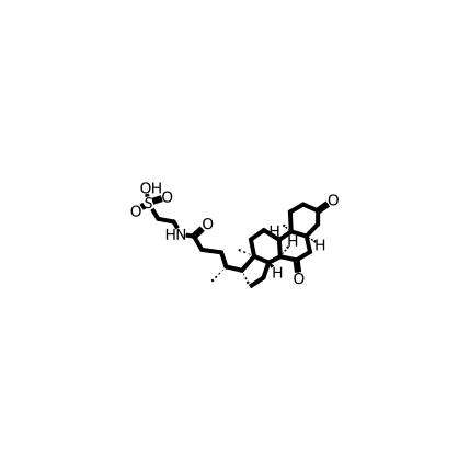 C[C@H](CCC(=O)NCCS(=O)(=O)O)[C@H]1CC[C@H]2[C@@H]3C(=O)C[C@@H]4CC(=O)CC[C@]4(C)[C@H]3CC[C@]12C